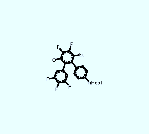 CCCCCCCc1ccc(-c2c(CC)c(F)c(F)c([O])c2-c2cc(F)c(F)c(F)c2)cc1